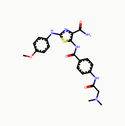 COc1ccc(Nc2nc(C(N)=O)c(NC(=O)c3ccc(NC(=O)CN(C)C)cc3)s2)cc1